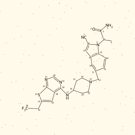 CC(C(N)=O)n1c(C#N)cc2cc(CN3CCC(Nc4ncnc5sc(CC(F)(F)F)cc45)CC3)ccc21